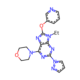 CCn1c(Oc2cccnc2)nc2c(N3CCOCC3)nc(-n3cccn3)nc21